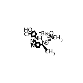 CC#CC(=NOCCN(C)C(=O)OC(C)(C)C)c1ccc2ncnc(Nc3ccc(O)c(Cl)c3)c2c1